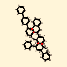 c1ccc(-c2ccc(-c3ccc(N(c4ccccc4-c4ccc5ccccc5c4)c4ccccc4-c4ccc5sc6ccccc6c5c4)cc3)cc2)cc1